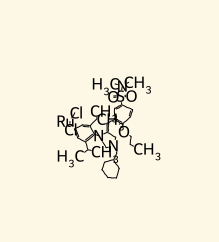 CCCOc1ccc(S(=O)(=O)N(C)C)cc1C=C1CN(CC2CCCCC2)CN1c1c(C(C)C)cccc1C(C)C.[Cl][Ru][Cl]